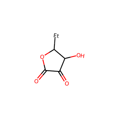 CCC1OC(=O)C(=O)C1O